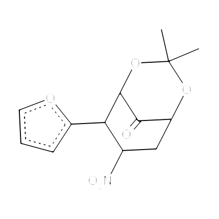 CC1(C)OC2CC([N+](=O)[O-])C(c3ccco3)C(O1)C2=O